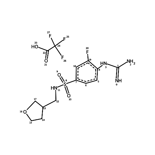 N=C(N)Nc1ccc(S(=O)(=O)NCC2CCOC2)cc1F.O=C(O)C(F)(F)F